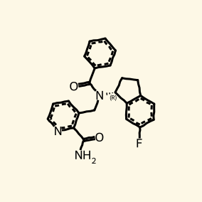 NC(=O)c1ncccc1CN(C(=O)c1ccccc1)[C@@H]1CCc2ccc(F)cc21